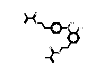 C=C(C)C(=O)OCCc1ccc(N(N)c2cc(CCOC(=O)C(=C)C)ccc2O)cc1